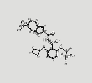 CC(Oc1cccc(OC2CCC2)c1[S+]([O-])NC(=O)c1cc2ccc(N(C)C)cc2o1)C(F)(F)F